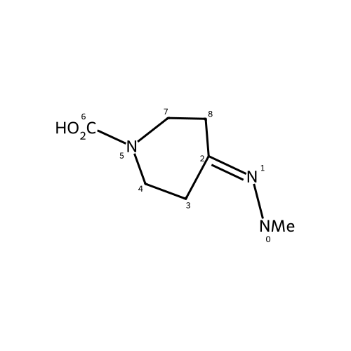 CNN=C1CCN(C(=O)O)CC1